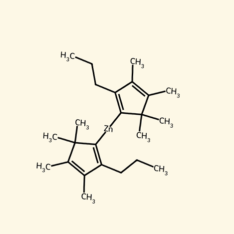 CCCC1=[C]([Zn][C]2=C(CCC)C(C)=C(C)C2(C)C)C(C)(C)C(C)=C1C